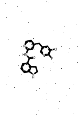 O=C(Nc1cc(Cc2cnc(F)c(Cl)c2)ccn1)c1cccc2c1CCN2